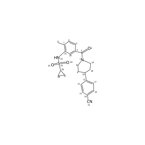 Cc1ccc(C(=O)N2CCC(c3ccc(C#N)cc3)CC2)cc1NS(=O)(=O)C1CC1